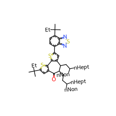 CCCCCCCCCC(CCCCCCC)CCC1C(=O)c2cc(C(C)(C)CC)sc2-c2sc(-c3ccc(C(C)(C)CC)c4nsnc34)cc2C1CC(CCCCCCC)CCCCCCCCC